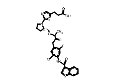 CC(OC[C@@H]1CCCN1c1ncc(CCC(=O)O)s1)C(=O)Cc1cc(Cl)c(NC(=O)c2csc3ccccc23)cc1F